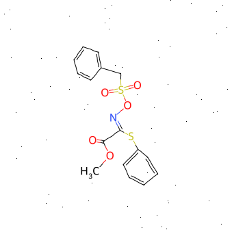 COC(=O)/C(=N/OS(=O)(=O)Cc1ccccc1)Sc1ccccc1